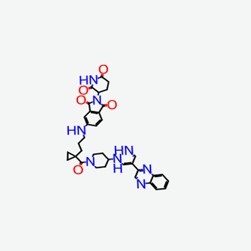 N=C/C(=C\NC1CCN(C(=O)C2(CCCNc3ccc4c(c3)C(=O)N(C3CCC(=O)NC3=O)C4=O)CC2)CC1)c1cnc2ccccc2n1